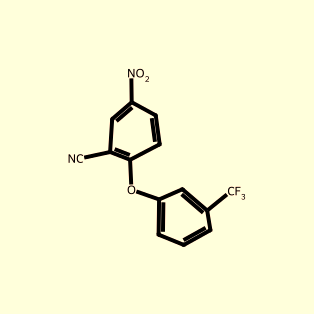 N#Cc1cc([N+](=O)[O-])ccc1Oc1cccc(C(F)(F)F)c1